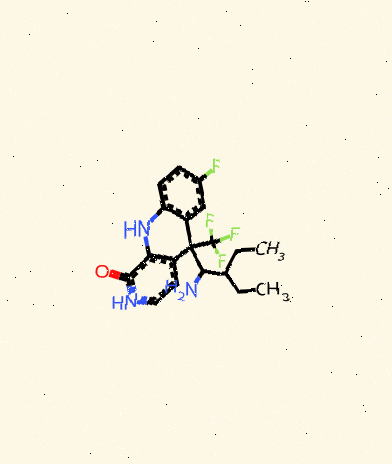 CCC(CC)C(N)C1(C(F)(F)F)c2cc(F)ccc2Nc2c1cc[nH]c2=O